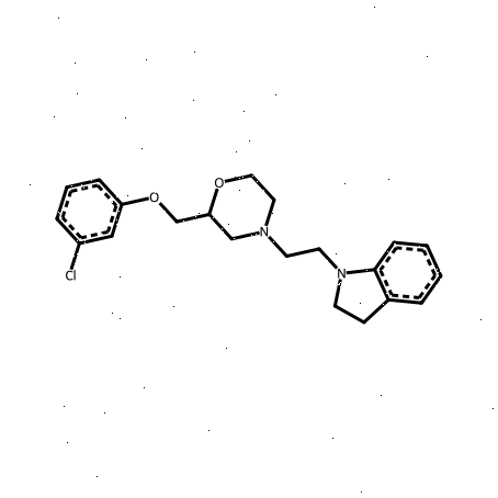 Clc1cccc(OCC2CN(CCN3CCc4ccccc43)CCO2)c1